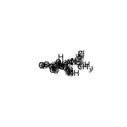 CC1(C)CCC(CN2CCN(c3ccc(C(=O)NS(=O)(=O)c4ccc(OCCOC5CCOC5)c([N+](=O)[O-])c4)c(Oc4cnc5[nH]ccc5c4)c3)CC2)=C(c2ccc(Cl)cc2)C1